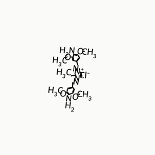 CCc1n(N=Cc2cc(OC)c(N)c(OC)c2)cc[n+]1N=Cc1cc(OC)c(N)c(OC)c1.[Cl-]